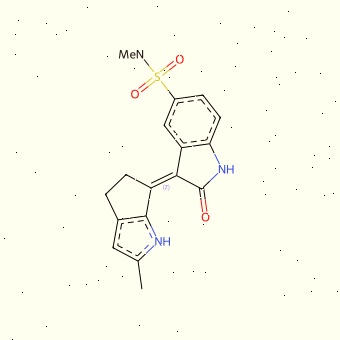 CNS(=O)(=O)c1ccc2c(c1)/C(=C1\CCc3cc(C)[nH]c31)C(=O)N2